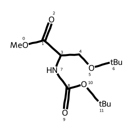 COC(=O)C(COC(C)(C)C)NC(=O)OC(C)(C)C